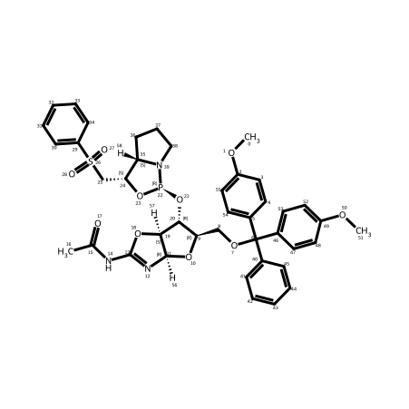 COc1ccc(C(OC[C@H]2O[C@H]3N=C(NC(C)=O)O[C@H]3[C@@H]2O[P@@]2O[C@H](CS(=O)(=O)c3ccccc3)[C@@H]3CCCN32)(c2ccccc2)c2ccc(OC)cc2)cc1